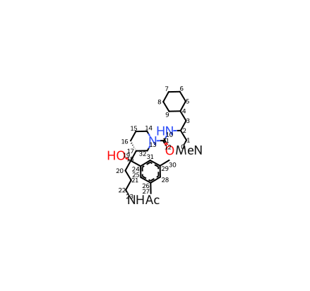 CNCC(CC1CCCCC1)NC(=O)N1CCC[C@@H]([C@@](O)(CCCNC(C)=O)c2cc(C)cc(C)c2)C1